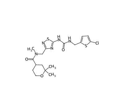 CN(Cc1nsc(NC(=O)NCc2ccc(Cl)s2)n1)C(=O)C1CCOC(C)(C)C1